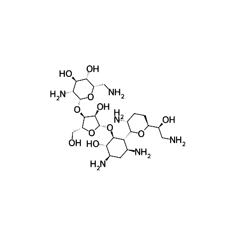 NC[C@@H]1O[C@H](O[C@H]2[C@@H](O)[C@H](O[C@@H]3[C@@H](O)[C@H](N)C[C@H](N)[C@H]3C3O[C@H]([C@@H](O)CN)CC[C@H]3N)O[C@@H]2CO)[C@H](N)[C@@H](O)[C@@H]1O